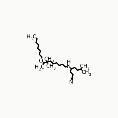 C=C(OCCCCCCCC)C(C)(C)CCCCCCNC(CCC#N)CCC(C)C